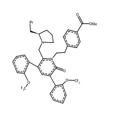 COC(=O)c1ccc(CCn2c(CN3CCC[C@@H]3CC(C)C)c(-c3ccccc3OC(F)(F)F)cc(-c3ccccc3OC(F)(F)F)c2=O)cc1